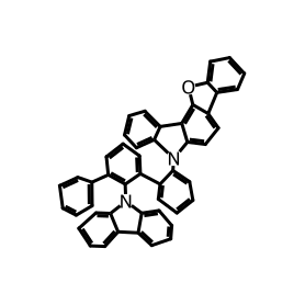 c1ccc(-c2cccc(-c3ccccc3-n3c4ccccc4c4c5oc6ccccc6c5ccc43)c2-n2c3ccccc3c3ccccc32)cc1